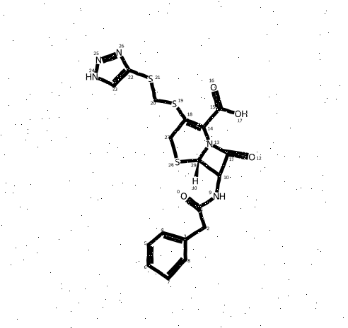 O=C(Cc1ccccc1)NC1C(=O)N2C(C(=O)O)=C(SCSc3c[nH]nn3)CS[C@@H]12